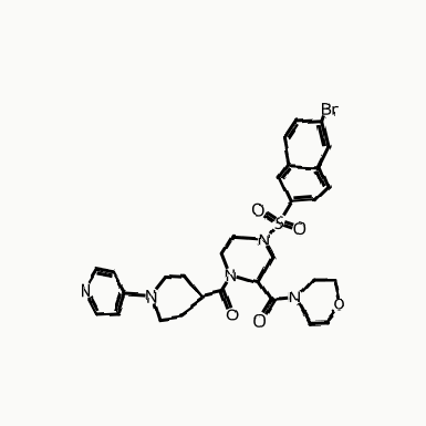 O=C(C1CN(S(=O)(=O)c2ccc3cc(Br)ccc3c2)CCN1C(=O)C1CCN(c2ccncc2)CC1)N1CCOCC1